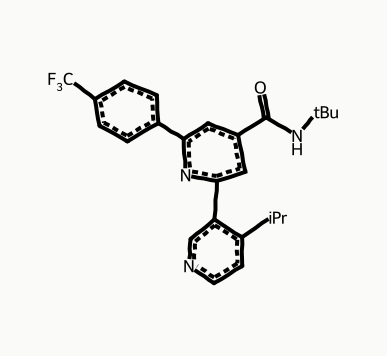 CC(C)c1ccncc1-c1cc(C(=O)NC(C)(C)C)cc(-c2ccc(C(F)(F)F)cc2)n1